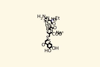 CCO/N=C(\C(=O)N[C@@H]1C(=O)N2C(C(=O)[O-])=C(CSc3cc(=O)c4cc(O)c(O)cc4s3)CS[C@@H]12)c1nsc(N)n1.[Na+]